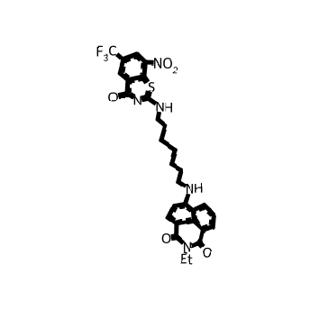 CCN1C(=O)c2cccc3c(NCCCCCCCNc4nc(=O)c5cc(C(F)(F)F)cc([N+](=O)[O-])c5s4)ccc(c23)C1=O